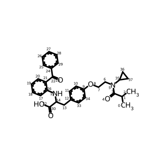 CC(C)C(=O)N(CCOc1ccc(CC(Nc2ccccc2C(=O)c2ccccc2)C(=O)O)cc1)C1CC1